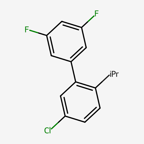 CC(C)c1ccc(Cl)cc1-c1cc(F)cc(F)c1